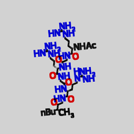 CCCCC(C)C(=O)CNC(=O)[C@H](CCCNC(=N)N)NC(=O)CNC(=O)[C@H](CCCNC(=N)N)NC(=O)CNC(=O)[C@H](CCCNC(=N)N)NC(C)=O